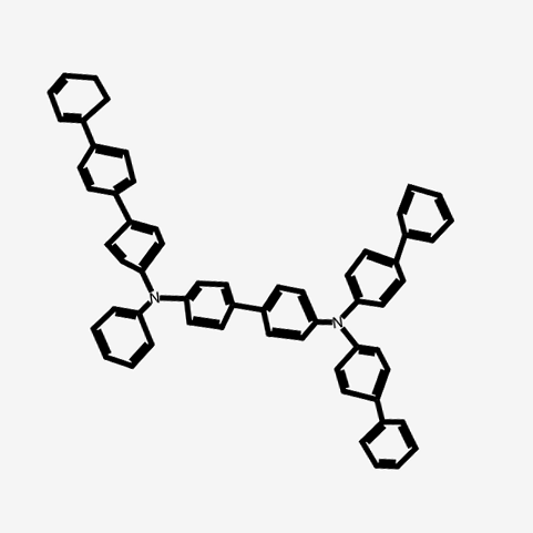 C1=CCCC(c2ccc(-c3ccc(N(c4ccccc4)c4ccc(-c5ccc(N(c6ccc(-c7ccccc7)cc6)c6ccc(-c7ccccc7)cc6)cc5)cc4)cc3)cc2)=C1